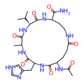 CC(=O)NC1CCC(=O)NCCC(C(N)=O)NC(=O)[C@H](C(C)C)NC(=O)C(C)NC(=O)C(Cc2c[nH]cn2)NC1=O